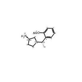 COc1ccccc1[C@H](C)N1CC[C@@H](N)C1